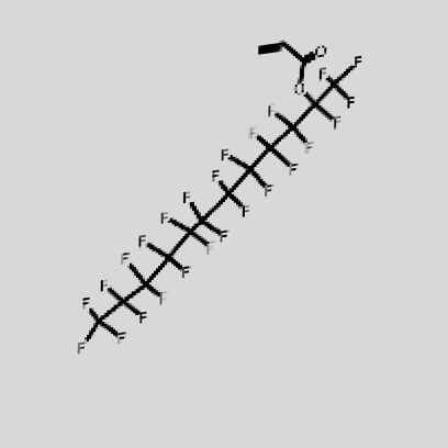 C=CC(=O)OC(F)(C(F)(F)F)C(F)(F)C(F)(F)C(F)(F)C(F)(F)C(F)(F)C(F)(F)C(F)(F)C(F)(F)C(F)(F)C(F)(F)F